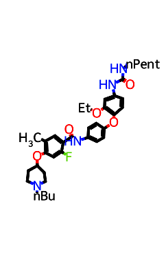 CCCCCNC(=O)Nc1ccc(Oc2ccc(NC(=O)c3cc(C)c(OC4CCN(CCCC)CC4)cc3F)cc2)c(OCC)c1